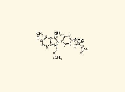 CCCn1c(-c2ccc(NS(=O)(=O)C3CC3)cc2)c(N)c2cc(OC)ccc21